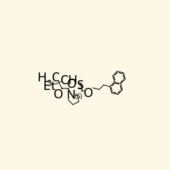 CCC(C)(C)C(=O)C(=O)N1CCC[C@H]1C(=S)OCCCc1cccc2ccccc12